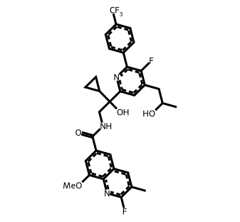 COc1cc(C(=O)NCC(O)(c2cc(CC(C)O)c(F)c(-c3ccc(C(F)(F)F)cc3)n2)C2CC2)cc2cc(C)c(F)nc12